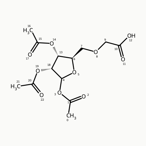 CC(=O)OC1O[C@H](COCC(=O)O)[C@@H](OC(C)=O)[C@H]1OC(C)=O